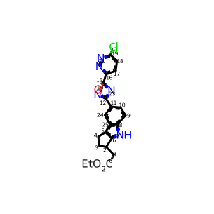 CCOC(=O)CC1CCc2c1[nH]c1ccc(-c3noc(-c4ccc(Cl)nn4)n3)cc21